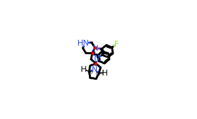 Fc1ccc2c(c1)ncn2C1C[C@H]2CC[C@@H](C1)N2CCC1(c2ccccc2)CCNCC1